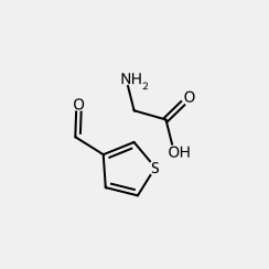 NCC(=O)O.O=Cc1ccsc1